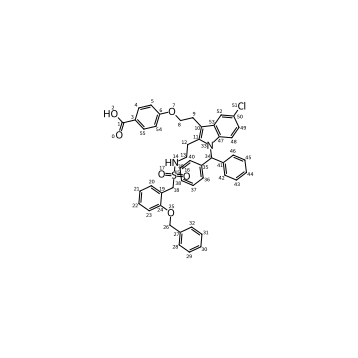 O=C(O)c1ccc(OCCc2c(CCNS(=O)(=O)Cc3ccccc3OCc3ccccc3)n(C(c3ccccc3)c3ccccc3)c3ccc(Cl)cc23)cc1